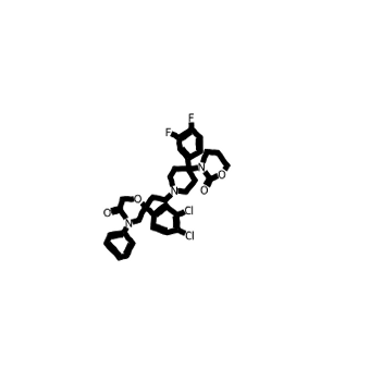 O=C1COC(CCN2CCC(c3ccc(F)c(F)c3)(N3CCCOC3=O)CC2)(c2ccc(Cl)c(Cl)c2)CN1c1ccccc1